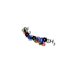 CCCc1ccc(C)cc1N1C(=O)CS/C1=N\C(=O)Nc1ccc(-c2ncn(-c3ccc(OC(F)(F)C(F)(F)F)cc3)n2)cc1F